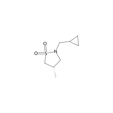 C[C@H]1CN(CC2CC2)S(=O)(=O)C1